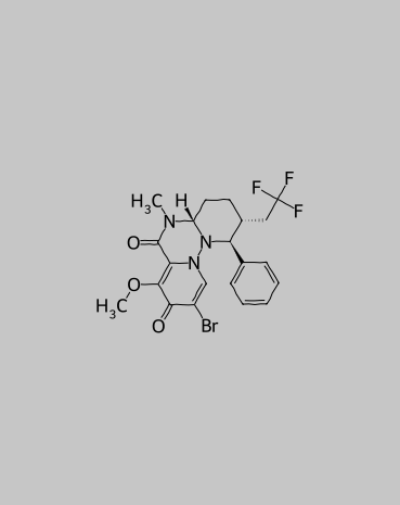 COc1c2n(cc(Br)c1=O)N1[C@H](c3ccccc3)[C@@H](CC(F)(F)F)CC[C@H]1N(C)C2=O